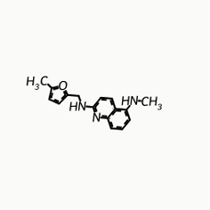 CNc1cccc2nc(NCc3ccc(C)o3)ccc12